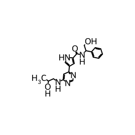 CC(O)CNc1cc(-c2c[nH]c(C(=O)NC(CO)c3ccccc3)c2)ncn1